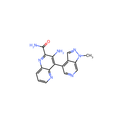 Cn1ncc2c(-c3c(N)c(C(N)=O)nc4cccnc34)cncc21